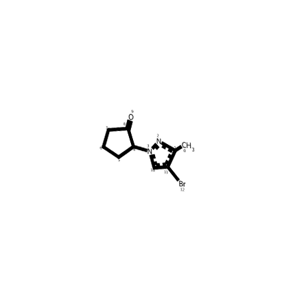 Cc1nn(C2CCCC2=O)cc1Br